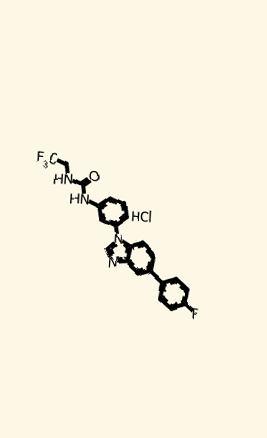 Cl.O=C(NCC(F)(F)F)Nc1cccc(-n2cnc3cc(-c4ccc(F)cc4)ccc32)c1